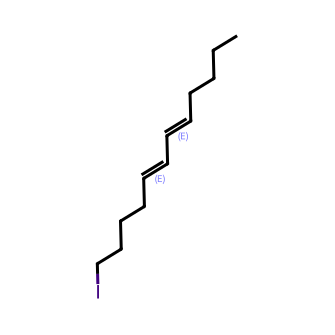 CCCC/C=C/C=C/CCCCI